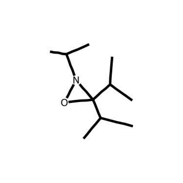 CC(C)N1OC1(C(C)C)C(C)C